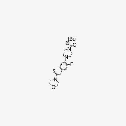 CC(C)(C)OC(=O)N1CCN(c2ccc(CC(=S)N3CCOCC3)cc2F)CC1